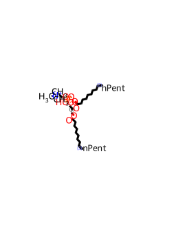 CCCCC/C=C\CCCCCCCC(=O)OC[C@H](COP(=O)(O)OCC[N+](C)(C)C)OC(=O)CCCCCCC/C=C\CCCCC